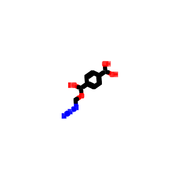 [N-]=[N+]=NCOB(O)c1ccc(B(O)O)cc1